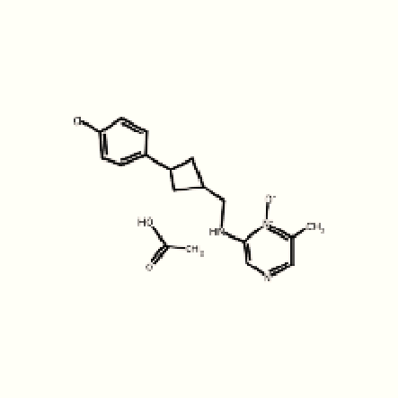 CC(=O)O.Cc1cncc(NCC2CC(c3ccc(Cl)cc3)C2)[n+]1[O-]